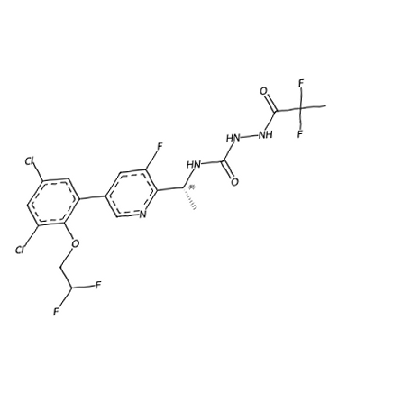 C[C@@H](NC(=O)NNC(=O)C(C)(F)F)c1ncc(-c2cc(Cl)cc(Cl)c2OCC(F)F)cc1F